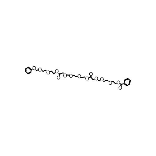 O=C(COCOCCOCCOC(=O)c1ccccc1)OCCOCCOCOCC(=O)OCCOCCOCOc1ccccc1